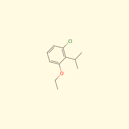 CCOc1cccc(Cl)c1C(C)C